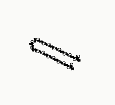 C=CC(=O)OCCOCCOCCOCCOCCOCCOCCOC(C)COC(C)COC(C)COCCOCCOCCOCCOCCOCCOC(=O)C=C